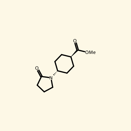 COC(=O)[C@H]1CC[C@H](N2CCCC2=O)CC1